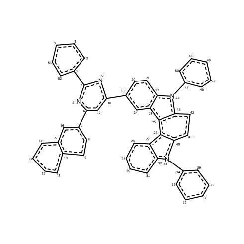 c1ccc(-c2nc(-c3ccc4ccccc4c3)cc(-c3ccc4c(c3)c3c5c6ccccc6n(-c6ccccc6)c5ccc3n4-c3ccccc3)n2)cc1